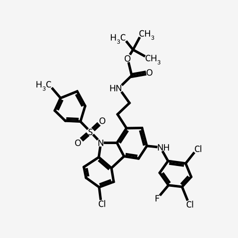 Cc1ccc(S(=O)(=O)n2c3ccc(Cl)cc3c3cc(Nc4cc(F)c(Cl)cc4Cl)cc(CCNC(=O)OC(C)(C)C)c32)cc1